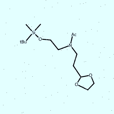 CC(=O)N(CCO[Si](C)(C)C(C)(C)C)CCC1OCCO1